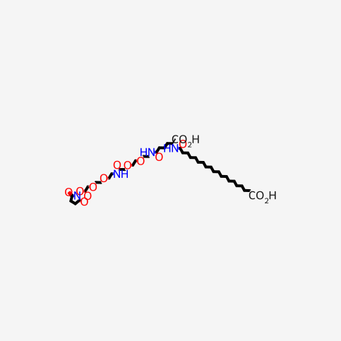 O=C(O)CCCCCCCCCCCCCCCCCCC(=O)N[C@@H](CCCC(=O)NCCOCCOCC(=O)NCCOCCOCC(=O)ON1C(=O)CCC1=O)C(=O)O